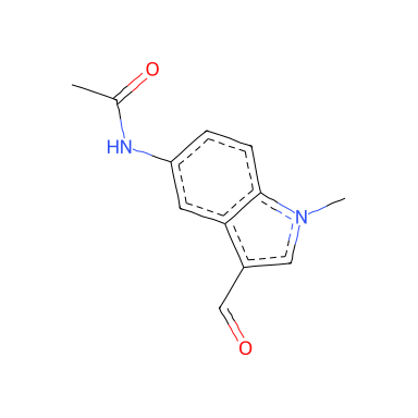 CC(=O)Nc1ccc2c(c1)c(C=O)cn2C